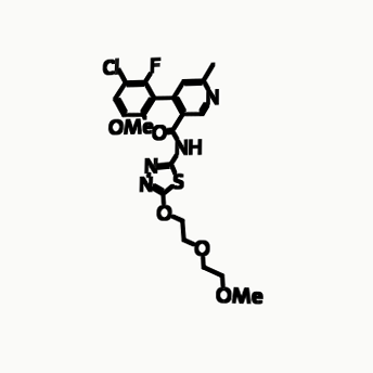 COCCOCCOc1nnc(NC(=O)c2cnc(C)cc2-c2c(OC)ccc(Cl)c2F)s1